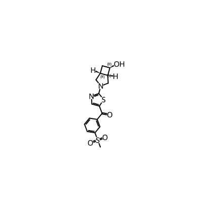 CS(=O)(=O)c1cccc(C(=O)c2cnc(N3C[C@@H]4C[C@@H](O)[C@@H]4C3)s2)c1